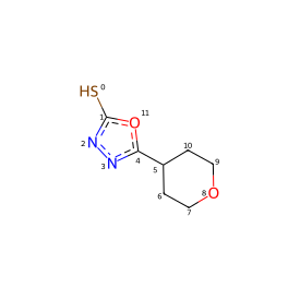 Sc1nnc(C2CCOCC2)o1